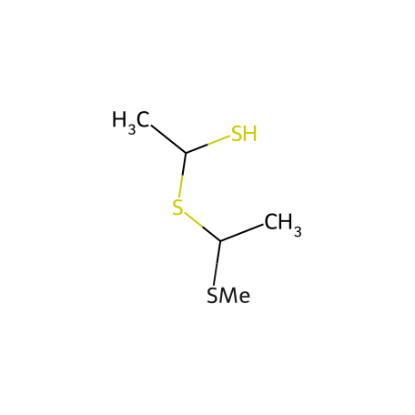 CSC(C)SC(C)S